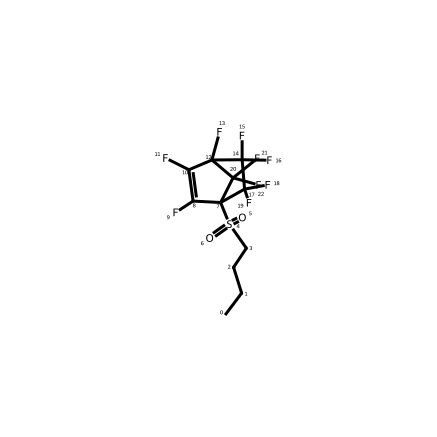 CCCCS(=O)(=O)C12C(F)=C(F)C(F)(C(F)(F)C1(F)F)C2(F)F